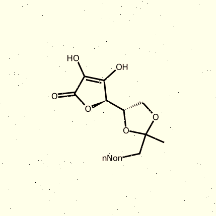 CCCCCCCCCCC1(C)OC[C@@H]([C@H]2OC(=O)C(O)=C2O)O1